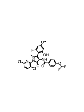 COc1cc(O)c(-c2c(NC(=O)c3ccc(OC(F)F)cc3)c(=O)n(-c3nc(Cl)ccc3Cl)n2C)c(F)c1